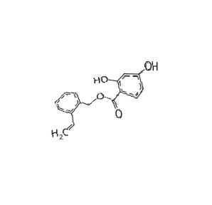 C=Cc1ccccc1COC(=O)c1ccc(O)cc1O